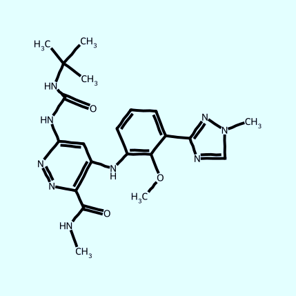 CNC(=O)c1nnc(NC(=O)NC(C)(C)C)cc1Nc1cccc(-c2ncn(C)n2)c1OC